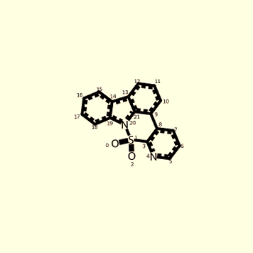 O=S1(=O)c2ncccc2-c2cccc3c4ccccc4n1c23